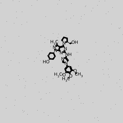 COc1cc(-n2cnc(Nc3nc(N4CCC[C@H]4CO)c4c(C)nn([C@H]5CC[C@@H](O)CC5)c4n3)c2)cc(OC)c1OC